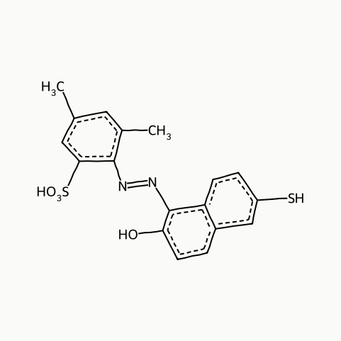 Cc1cc(C)c(/N=N/c2c(O)ccc3cc(S)ccc23)c(S(=O)(=O)O)c1